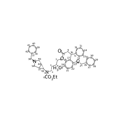 CCOC(=O)N(CCCCOC(=O)CC(c1ccccc1)c1cc(C)ccc1OCc1ccccc1)C1C2CN(Cc3ccccc3)CC21